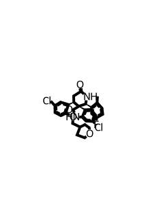 Cc1ccc(F)cc1[C@@H]1NC(=O)C[C@H](c2cc(Cl)ccc2OCC2CCOCC2)[C@@]12C(=O)Nc1cc(Cl)ccc12